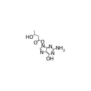 CC(O)CC(=O)On1cnc2c(O)nc(N)nc21